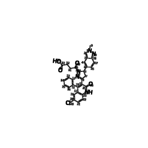 Cn1cc2cc(C3CC(c4c(-c5ccccc5)c5cc(Cl)ccc5[nH]c4=O)=NN3C(=O)CCC(=O)O)ccc2n1